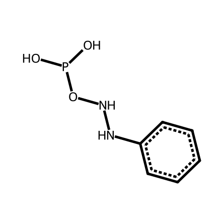 OP(O)ONNc1ccccc1